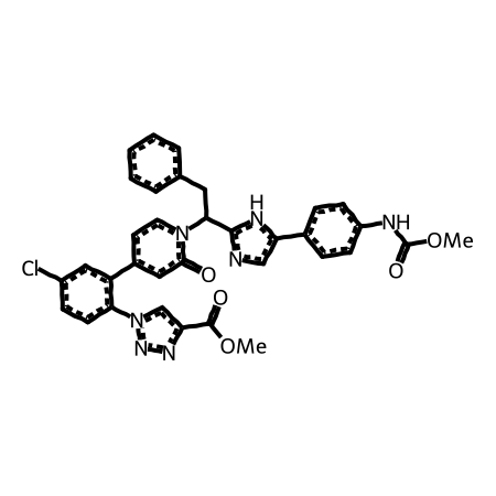 COC(=O)Nc1ccc(-c2cnc(C(Cc3ccccc3)n3ccc(-c4cc(Cl)ccc4-n4cc(C(=O)OC)nn4)cc3=O)[nH]2)cc1